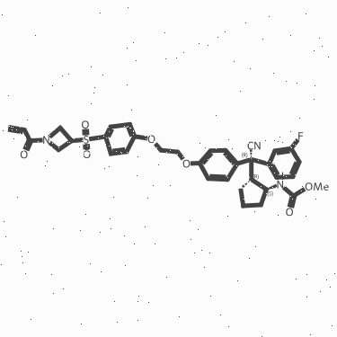 C=CC(=O)N1CC(S(=O)(=O)c2ccc(OCCOc3ccc([C@@](C#N)(c4cccc(F)c4)[C@H]4CCC[C@@H]4NC(=O)OC)cc3)cc2)C1